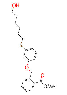 COC(=O)c1ccccc1COc1cccc(SCCCCCCO)c1